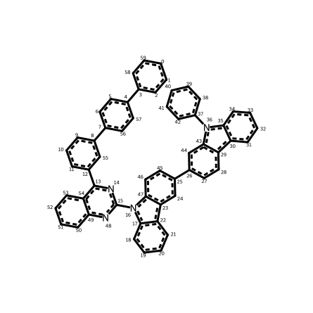 c1ccc(-c2ccc(-c3cccc(-c4nc(-n5c6ccccc6c6cc(-c7ccc8c9ccccc9n(-c9ccccc9)c8c7)ccc65)nc5ccccc45)c3)cc2)cc1